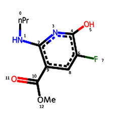 CCCNc1nc(O)c(F)cc1C(=O)OC